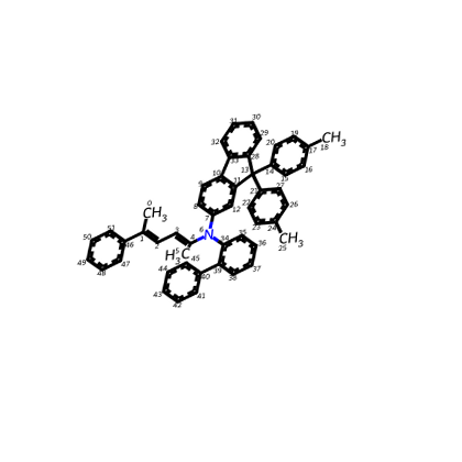 C/C(=C\C=C(/C)N(c1ccc2c(c1)C(c1ccc(C)cc1)(c1ccc(C)cc1)c1ccccc1-2)c1ccccc1-c1ccccc1)c1ccccc1